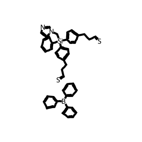 S=CCCc1ccc([Si](Cn2ccnc2)(c2ccccc2)c2ccc(CCC=S)cc2)cc1.c1ccc(B(c2ccccc2)c2ccccc2)cc1